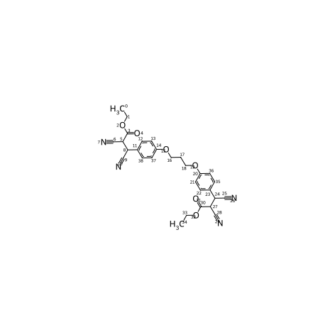 CCOC(=O)C(C#N)C(C#N)c1ccc(OCCCOc2ccc(C(C#N)C(C#N)C(=O)OCC)cc2)cc1